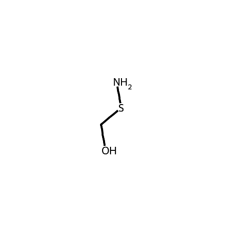 NSCO